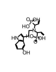 C=CC(N(CCc1c[nH]c2ccc(O)cc12)C(C=C)P(=O)(O)O)P(=O)(O)O